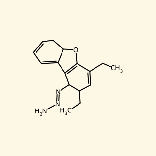 CCC1=CC(CC)C(N=NN)C2=C1OC1CC=CC=C21